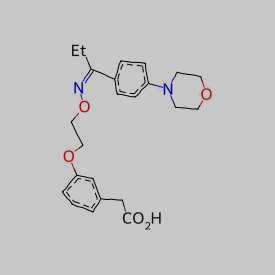 CCC(=NOCCOc1cccc(CC(=O)O)c1)c1ccc(N2CCOCC2)cc1